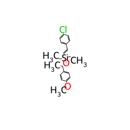 CC[Si](/C=C/c1ccc(Cl)cc1)(CC)OC(C)c1ccc(OC)cc1